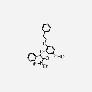 CCN(C(=O)C(Oc1cc(C=O)ccc1OCCc1ccccc1)c1ccccc1)C(C)C